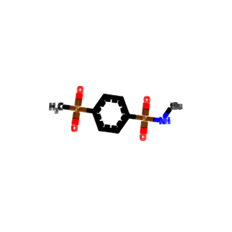 CC(C)(C)NS(=O)(=O)c1ccc(S(C)(=O)=O)cc1